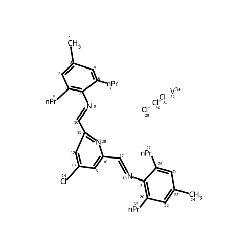 CCCc1cc(C)cc(CCC)c1N=Cc1cc(Cl)cc(C=Nc2c(CCC)cc(C)cc2CCC)n1.[Cl-].[Cl-].[Cl-].[V+3]